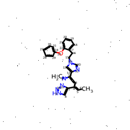 C=N/C(=C\C(=C/C)c1c[nH]nn1)c1cn(CCc2ccccc2Oc2ccccc2)cn1